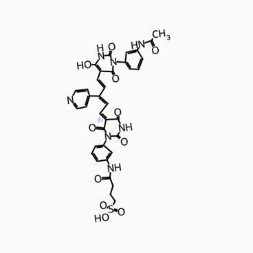 CC(=O)Nc1cccc(-n2c(=O)[nH]c(O)c(C=CC(=C/C=C3\C(=O)NC(=O)N(c4cccc(NC(=O)CCCS(=O)(=O)O)c4)C3=O)c3ccncc3)c2=O)c1